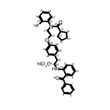 O=C(c1ccccc1)c1ccccc1N[C@@H](Cc1ccc(OCCN(C(=O)C2CCCC2)c2ccccc2F)cc1)C(=O)O